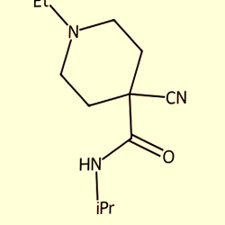 CCN1CCC(C#N)(C(=O)NC(C)C)CC1